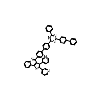 c1ccc(-c2ccc(-c3nc(-c4ccccc4)nc(-c4ccc(-c5ccc(-c6nc7ccccc7c7sc(-c8cccnc8)c(-c8cccnc8)c67)cc5)cc4)n3)cc2)cc1